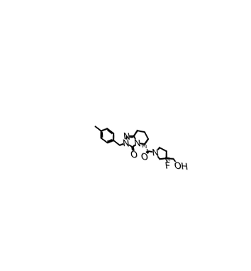 Cc1ccc(Cn2nc3n(c2=O)[C@@H](C(=O)N2CC[C@](F)(CO)C2)CCC3)cc1